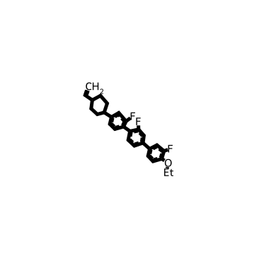 C=CC1CCC(c2ccc(-c3ccc(-c4ccc(OCC)c(F)c4)cc3F)c(F)c2)CC1